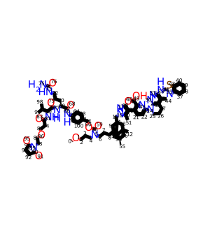 COCCCN(CCCC12CC3(C)CC(Cn4ncc(-c5ccc(N6CCCc7c6nnc(Nc6nc8ccccc8s6)c7C)nc5C(=O)O)c4C)(C1)C[C@](C)(C3)C2)C(=O)OCc1ccc(NC(=O)[C@H](CCCNC(N)=O)NC(=O)[C@@H](NC(=O)CCOCCN2C(=O)C=CC2=O)C(C)C)cc1